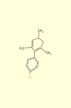 CC1=CC(C)CC(C)=C1c1ccc(S)cc1